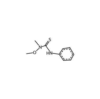 CON(C)C(=S)Nc1ccccc1